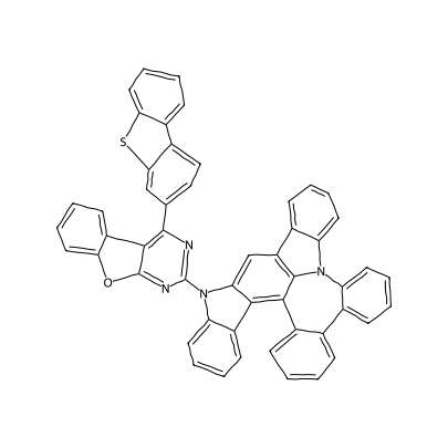 c1ccc2c(c1)-c1ccccc1-n1c3ccccc3c3cc4c(c-2c31)c1ccccc1n4-c1nc(-c2ccc3c(c2)sc2ccccc23)c2c(n1)oc1ccccc12